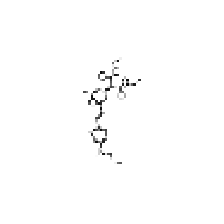 CCCN(C)c1ccc(C=CC2=CC(=C(C(=O)OCC)C(=O)OCC)C=C(C)O2)cc1